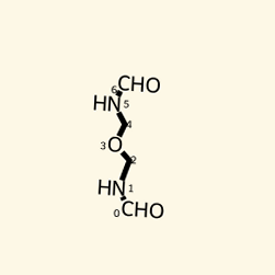 O=CNCOCNC=O